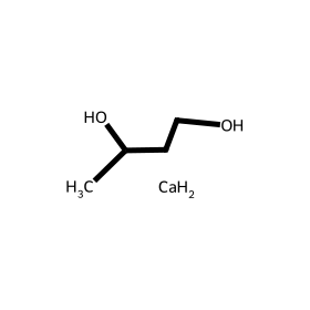 CC(O)CCO.[CaH2]